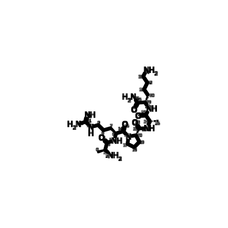 C[C@H](N)C(=O)N[C@@H](CCCNC(=N)N)C(=O)N1CCC[C@H]1C(=O)N[C@@H](C)C(=O)N[C@@H](CCCCN)C(N)=O